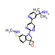 CNSc1ccc2c(c1)N(c1ncc(-c3cc(C(C)(C)N)ccn3)cn1)CC21COC1